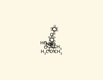 CC1OC(C)C(C(=O)NO)N(S(=O)(=O)c2ccc(OCc3ccccc3)cc2)C1C